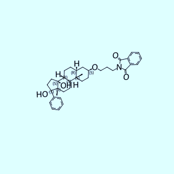 C[C@]12CC[C@H](OCCCN3C(=O)c4ccccc4C3=O)C[C@H]1CC[C@@H]1[C@@H]2CC[C@]2(C)[C@@](O)(c3ccccc3)CC[C@]12O